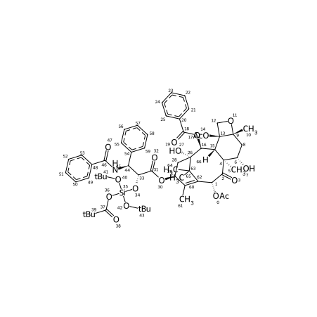 CC(=O)O[C@H]1C(=O)[C@]2(C)[C@@H](O)C[C@@]3(C)OC[C@@]3(OC(C)=O)[C@H]2[C@H](OC(=O)c2ccccc2)[C@]2(O)C[C@H](OC(=O)[C@H](O[Si](OC(=O)C(C)(C)C)(OC(C)(C)C)OC(C)(C)C)[C@@H](NC(=O)c3ccccc3)c3ccccc3)C(C)=C1C2(C)C